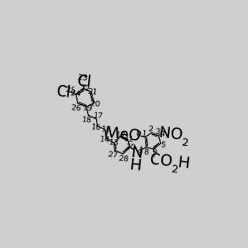 COc1cc([N+](=O)[O-])cc(C(=O)O)c1Nc1ccc(CCCCCc2ccc(Cl)c(Cl)c2)cc1